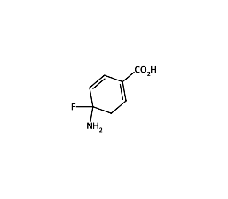 NC1(F)C=CC(C(=O)O)=CC1